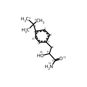 CC(C)(C)c1ccc(CC(O)C(N)=O)cc1